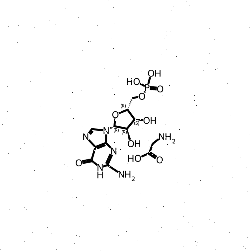 NCC(=O)O.Nc1nc2c(ncn2[C@@H]2O[C@H](COP(=O)(O)O)[C@@H](O)[C@H]2O)c(=O)[nH]1